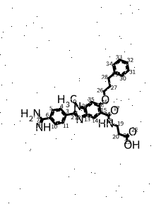 Cn1c(-c2ccc(C(=N)N)cc2)nc2cc(C(=O)NCCC(=O)O)c(OCCCc3ccccc3)cc21